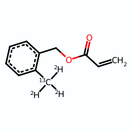 [2H][13C]([2H])([2H])c1ccccc1COC(=O)C=C